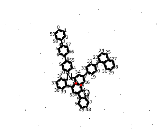 c1ccc(-c2ccc(-c3ccc(N(c4cccc(-c5ccc(-c6cccc7ccccc67)cc5)c4)c4ccccc4-c4ccc5oc6ccccc6c5c4)cc3)cc2)cc1